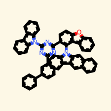 c1ccc(-c2cccc(-c3nc(-c4ccc5oc6ccccc6c5c4-n4c5ccccc5c5cc6ccccc6cc54)nc(-n4c5ccccc5c5ccccc54)n3)c2)cc1